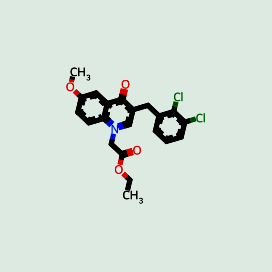 CCOC(=O)Cn1cc(Cc2cccc(Cl)c2Cl)c(=O)c2cc(OC)ccc21